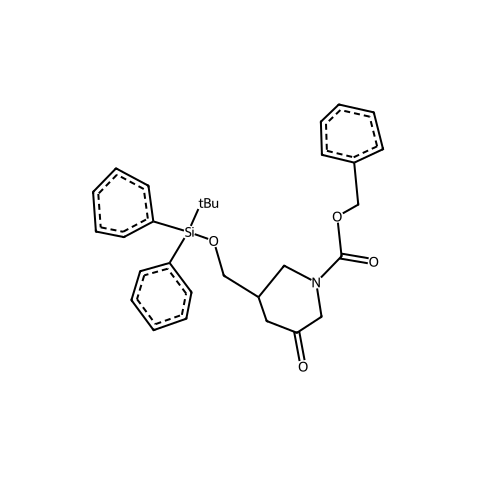 CC(C)(C)[Si](OCC1CC(=O)CN(C(=O)OCc2ccccc2)C1)(c1ccccc1)c1ccccc1